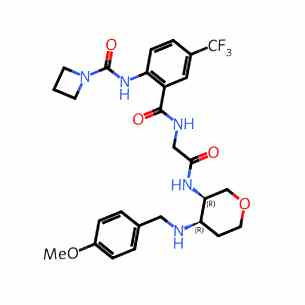 COc1ccc(CN[C@@H]2CCOC[C@@H]2NC(=O)CNC(=O)c2cc(C(F)(F)F)ccc2NC(=O)N2CCC2)cc1